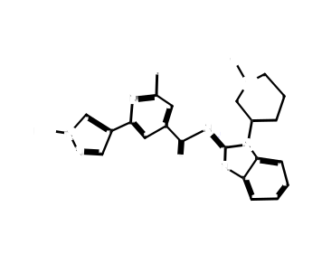 Cc1cc(C(=O)/N=c2\[nH]c3ccccc3n2C2CCC[S+]([O-])C2)cc(-c2cnn(C)c2)n1